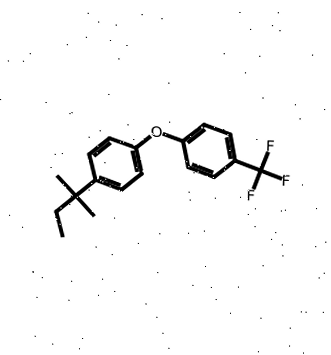 CCC(C)(C)c1ccc(Oc2ccc(C(F)(F)F)cc2)cc1